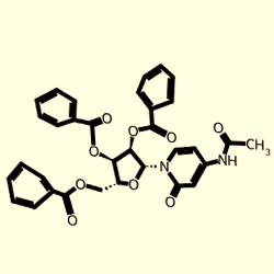 CC(=O)Nc1ccn([C@@H]2O[C@H](COC(=O)c3ccccc3)[C@@H](OC(=O)c3ccccc3)[C@H]2OC(=O)c2ccccc2)c(=O)c1